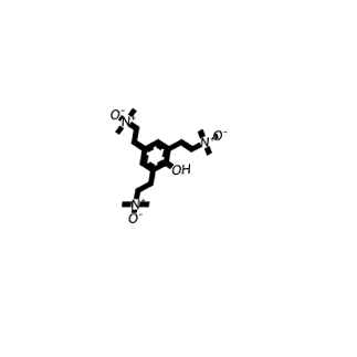 C[N+](C)([O-])CCc1cc(CC[N+](C)(C)[O-])c(O)c(CC[N+](C)(C)[O-])c1